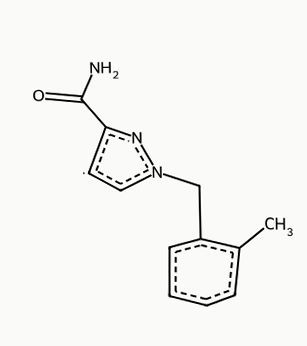 Cc1ccccc1Cn1c[c]c(C(N)=O)n1